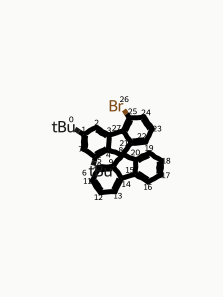 CC(C)(C)c1cc2c(c(C(C)(C)C)c1)C1(c3ccccc3-c3ccccc31)c1cccc(Br)c1-2